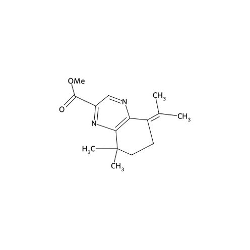 COC(=O)c1cnc2c(n1)C(C)(C)CCC2=C(C)C